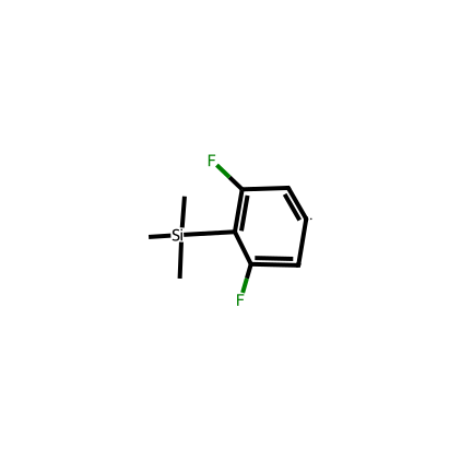 C[Si](C)(C)c1c(F)c[c]cc1F